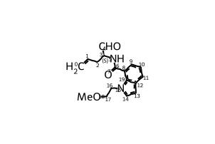 C=CC[C@@H](C=O)NC(=O)c1cccc2ccn(CCOC)c12